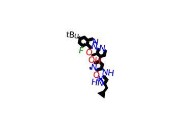 Cn1cc(-c2ccnc(-n3ncc4cc(C(C)(C)C)cc(F)c4c3=O)c2CO)cc(Nc2cc(CC3CC3)[nH]n2)c1=O